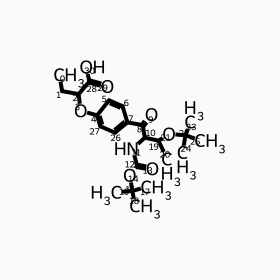 CCC(Oc1ccc(C(=O)C(NC(=O)OC(C)(C)C)C(C)OC(C)(C)C)cc1)C(=O)O